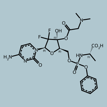 C[C@H](NP(=O)(OC[C@H]1O[C@@H](n2ccc(N)nc2=O)C(F)(F)[C@@]1(O)OC(=O)CN(C)C)Oc1ccccc1)C(=O)O